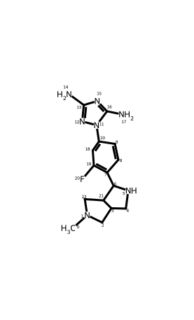 CN1CC2CNC(c3ccc(-n4nc(N)nc4N)cc3F)C2C1